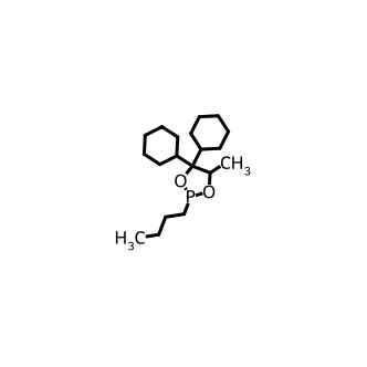 CCCCP1OC(C)C(C2CCCCC2)(C2CCCCC2)O1